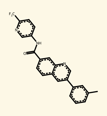 Cc1cccc(-c2cnc3cc(C(=O)Nc4ccc(C(F)(F)F)nc4)ccc3c2)c1